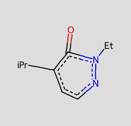 CCn1nccc(C(C)C)c1=O